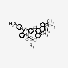 C=C(C)C1CCC2C3CC=C4CC(OC(C)OC(=O)N5c6ccc(Cl)cc6N=C(N6CCN(C)CC6)c6ccccc65)CCC4(C)C3CCC12C